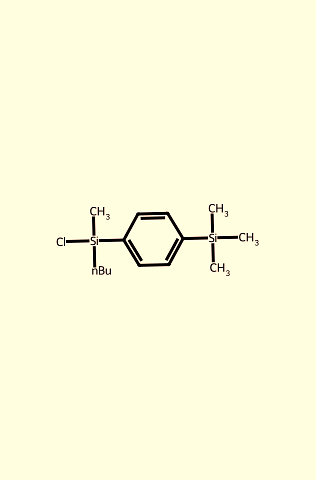 CCCC[Si](C)(Cl)c1ccc([Si](C)(C)C)cc1